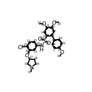 COc1ccc(-c2cc(OC)c(OC)cc2S(=O)(=O)Nc2ccc(Cl)c(OC3CCN(C)C3)c2)cc1